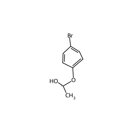 C[C](O)Oc1ccc(Br)cc1